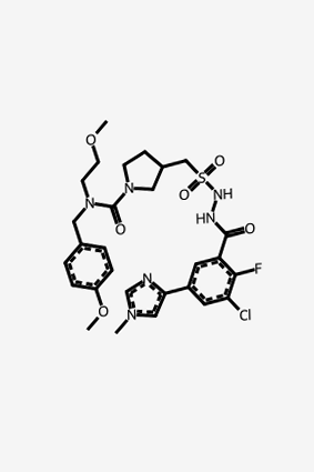 COCCN(Cc1ccc(OC)cc1)C(=O)N1CCC(CS(=O)(=O)NNC(=O)c2cc(-c3cn(C)cn3)cc(Cl)c2F)C1